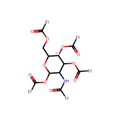 CCC(=O)NC1C(OC(=O)CC)OC(COC(=O)CC)[C@@H](OC(=O)CC)C1OC(=O)CC